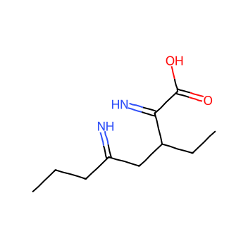 CCCC(=N)CC(CC)C(=N)C(=O)O